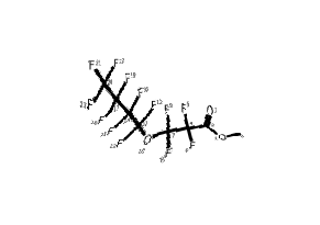 COC(=O)C(F)(F)C(F)(F)OC(F)(F)C(F)(F)C(F)(F)C(F)(F)F